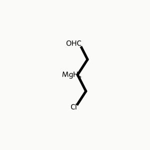 O=CCCCCl.[MgH2]